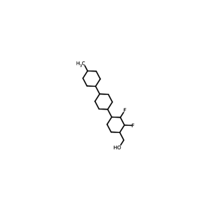 CC1CCC(C2CCC(C3CCC(CO)C(F)C3F)CC2)CC1